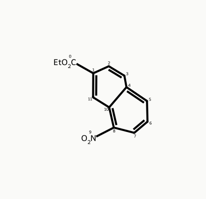 CCOC(=O)c1ccc2cccc([N+](=O)[O-])c2c1